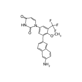 COc1c(-c2ccc3cc(N)ccc3c2)cc(-n2ccc(=O)[nH]c2=O)cc1C(F)(F)F